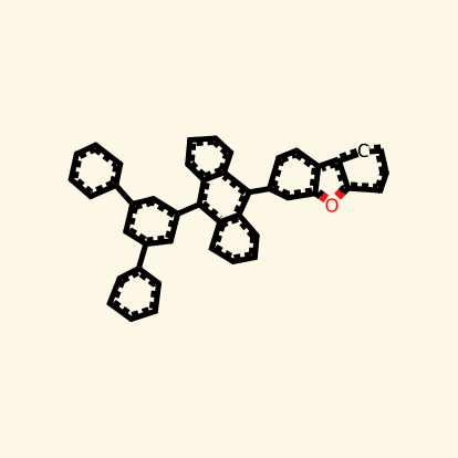 c1ccc(-c2cc(-c3ccccc3)cc(-c3c4ccccc4c(-c4ccc5c(c4)oc4ccccc45)c4ccccc34)c2)cc1